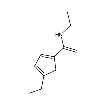 C=C(NCC)C1=CC=C(CC)C1